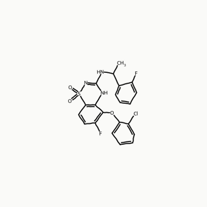 CC(NC1=NS(=O)(=O)c2ccc(F)c(Oc3ccccc3Cl)c2N1)c1ccccc1F